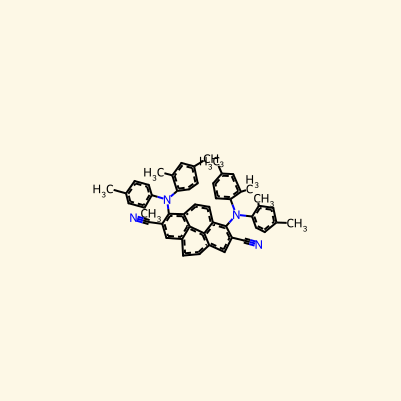 Cc1ccc(N(c2ccc(C)cc2C)c2c(C#N)cc3ccc4cc(C#N)c(N(c5ccc(C)cc5C)c5ccc(C)cc5C)c5ccc2c3c45)c(C)c1